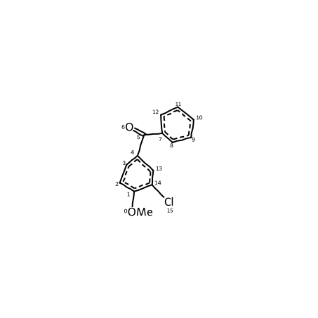 COc1ccc(C(=O)c2ccccc2)cc1Cl